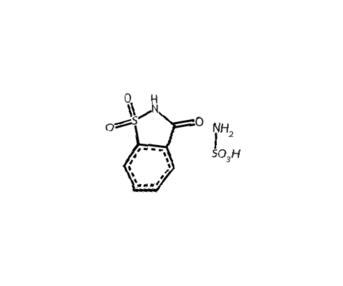 NS(=O)(=O)O.O=C1NS(=O)(=O)c2ccccc21